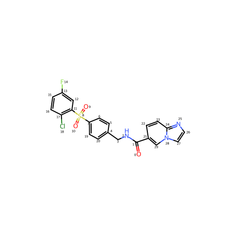 O=C(NCc1ccc(S(=O)(=O)c2cc(F)ccc2Cl)cc1)c1ccc2nccn2c1